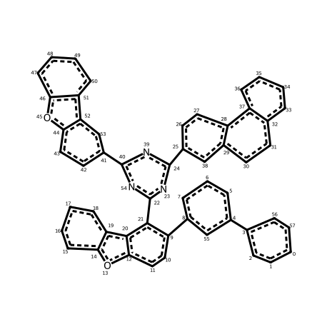 c1ccc(-c2cccc(-c3ccc4oc5ccccc5c4c3-c3nc(-c4ccc5c(ccc6ccccc65)c4)nc(-c4ccc5oc6ccccc6c5c4)n3)c2)cc1